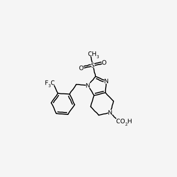 CS(=O)(=O)c1nc2c(n1Cc1ccccc1C(F)(F)F)CCN(C(=O)O)C2